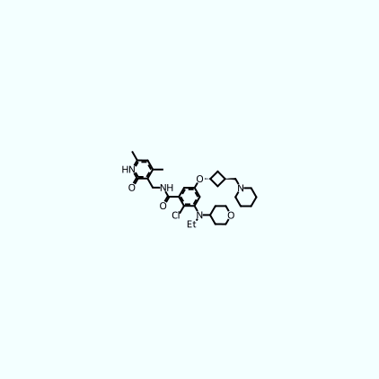 CCN(c1cc(O[C@H]2C[C@H](CN3CCCCC3)C2)cc(C(=O)NCc2c(C)cc(C)[nH]c2=O)c1Cl)C1CCOCC1